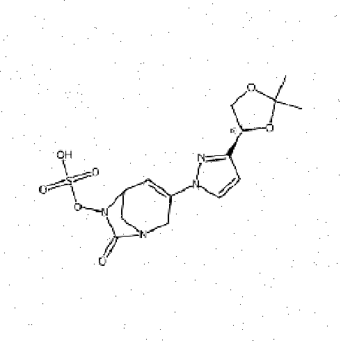 CC1(C)OC[C@H](c2ccn(C3=CC4CN(C3)C(=O)N4OS(=O)(=O)O)n2)O1